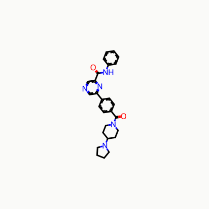 O=C(Nc1ccccc1)c1cncc(-c2ccc(C(=O)N3CCC(N4CCCC4)CC3)cc2)n1